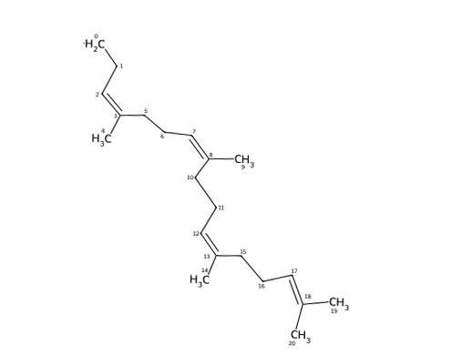 [CH2]CC=C(C)CCC=C(C)CCC=C(C)CCC=C(C)C